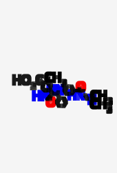 Cc1cc2c(cc1C(=O)O)NC(=O)C2=C(Nc1ccc(C(=O)NCCN(C)C)cc1)c1ccccc1